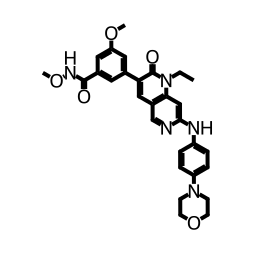 CCn1c(=O)c(-c2cc(OC)cc(C(=O)NOC)c2)cc2cnc(Nc3ccc(N4CCOCC4)cc3)cc21